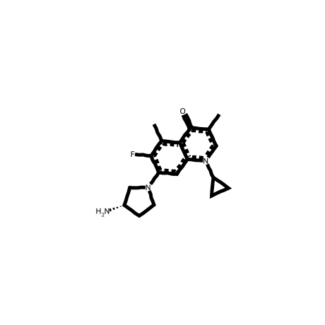 Cc1cn(C2CC2)c2cc(N3CC[C@H](N)C3)c(F)c(C)c2c1=O